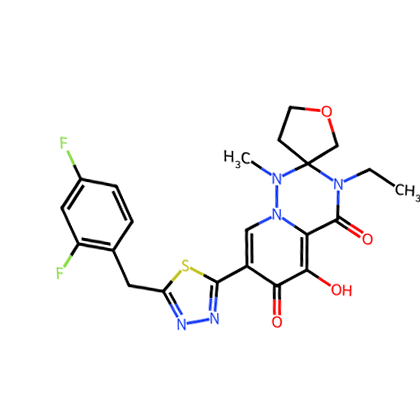 CCN1C(=O)c2c(O)c(=O)c(-c3nnc(Cc4ccc(F)cc4F)s3)cn2N(C)C12CCOC2